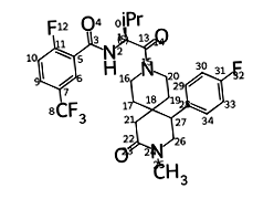 CC(C)[C@H](NC(=O)c1cc(C(F)(F)F)ccc1F)C(=O)N1CCC2(CC1)CC(=O)N(C)CC2c1ccc(F)cc1